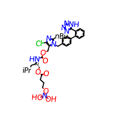 CCCCc1nc(Cl)c(COC(=O)N[C@H](COC(=O)CCCON(O)O)CC(C)C)n1Cc1ccc(-c2ccccc2-c2nnn[nH]2)cc1